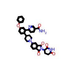 NC(=O)c1ccc(-c2cc(Oc3ccccc3)ccc2C2CCN(c3ccc4c(c3)C(=O)N(C3CCC(=O)NC3=O)C4=O)CC2)nc1